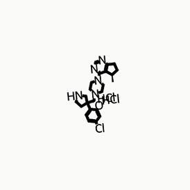 C[C@@H]1CCc2ncnc(N3CCN(C(=O)C4(c5ccc(Cl)cc5)CCNC4)CC3)c21.Cl.Cl